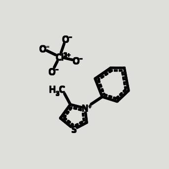 Cc1csc[n+]1-c1ccccc1.[O-][Cl+3]([O-])([O-])[O-]